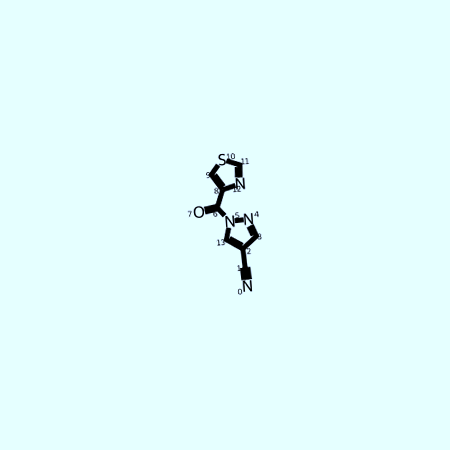 N#Cc1cnn(C(=O)c2cscn2)c1